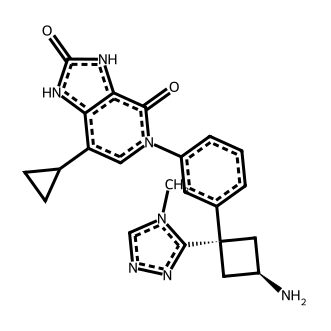 Cn1cnnc1[C@]1(c2cccc(-n3cc(C4CC4)c4[nH]c(=O)[nH]c4c3=O)c2)C[C@@H](N)C1